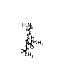 CC(=O)CCN(CCSSCCN)C(=O)NN